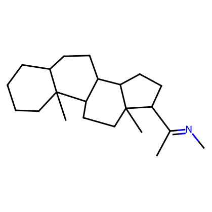 C/N=C(\C)C1CCC2C3CCC4CCCCC4(C)C3CCC12C